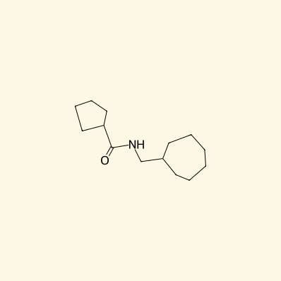 O=C(NCC1CCCCCC1)C1CCCC1